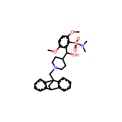 COc1ccc(OC)c(S(=O)(=O)N(C)C)c1C(O)C1CCN(CC23CC(c4ccccc42)c2ccccc23)CC1